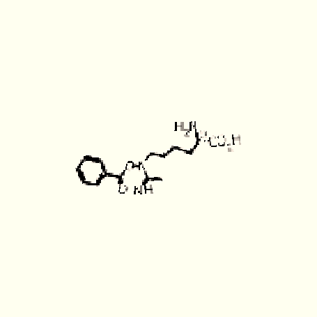 CC(=N)N(CCCC[C@H](N)C(=O)O)OC(=O)c1ccccc1